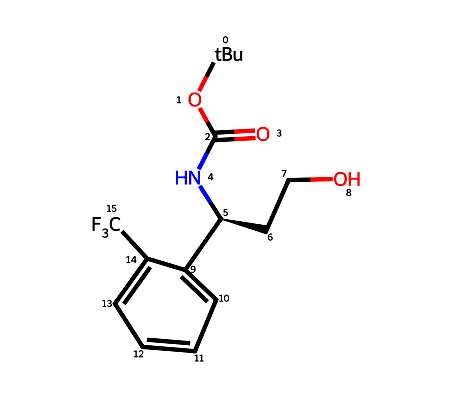 CC(C)(C)OC(=O)N[C@@H](CCO)c1ccccc1C(F)(F)F